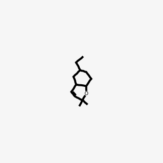 CCC1CCC2OC(C)(C)C=CC2C1